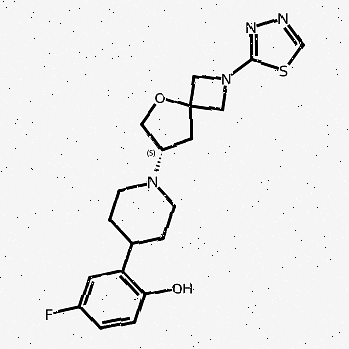 Oc1ccc(F)cc1C1CCN([C@@H]2COC3(C2)CN(c2nncs2)C3)CC1